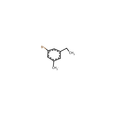 [CH2]c1cc(Br)cc(CC)c1